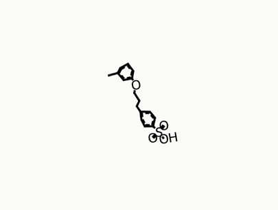 Cc1cccc(OCCCc2ccc(S(=O)(=O)O)cc2)c1